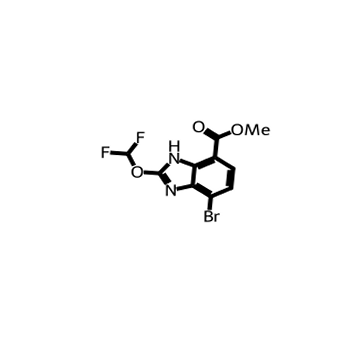 COC(=O)c1ccc(Br)c2nc(OC(F)F)[nH]c12